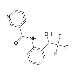 O=C(Nc1ccccc1C(O)C(F)(F)F)c1cccnc1